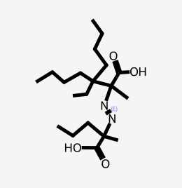 CCCCC(CC)(CCCC)C(C)(/N=N/C(C)(CCC)C(=O)O)C(=O)O